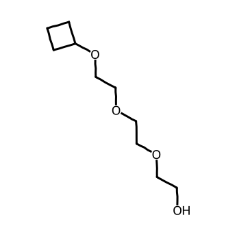 OCCOCCOCCOC1CCC1